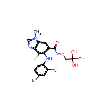 Cn1cnc2c(F)c(Nc3ccc(Br)cc3Cl)c(C(=O)NOCC(O)(O)O)cc21